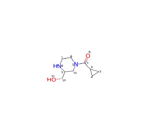 O=C(C1CC1)N1CCNC(CO)C1